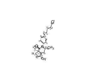 CCC1(C)C(=O)N(c2ccc(OCCCCl)cc2)C(C)CN1C(=O)O